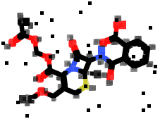 COCC1=C(C(=O)OCOC(C)=O)N2C(=O)C(NC(=O)c3ccccc3C(=O)O)[C@H]2SC1